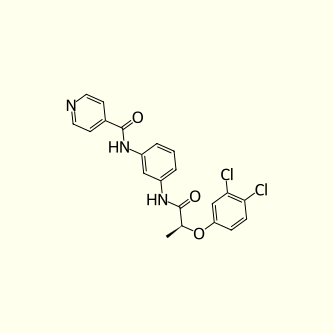 C[C@H](Oc1ccc(Cl)c(Cl)c1)C(=O)Nc1cccc(NC(=O)c2ccncc2)c1